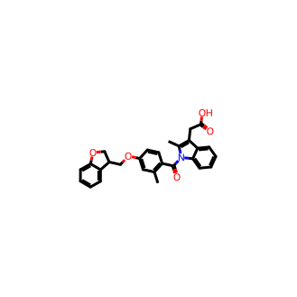 Cc1cc(OCC2COc3ccccc32)ccc1C(=O)n1c(C)c(CC(=O)O)c2ccccc21